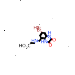 Br.O=C(O)CCNCc1cc(Br)cc2[nH]c(=O)c(=O)[nH]c12